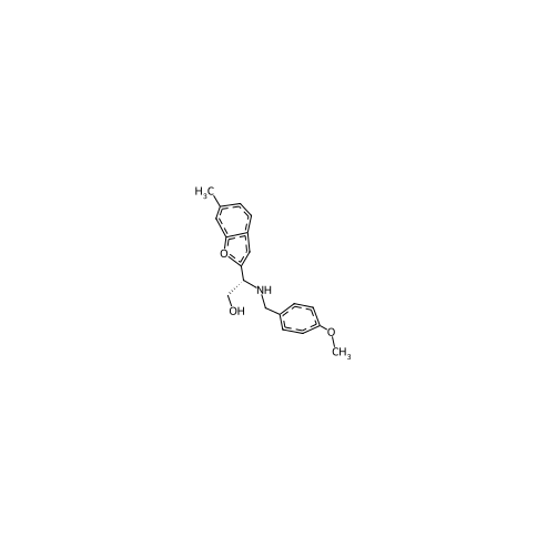 COc1ccc(CN[C@H](CO)c2cc3ccc(C)cc3o2)cc1